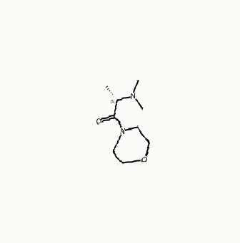 C[C@@H](C(=O)N1CCOCC1)N(C)C